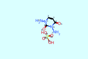 Nn1ccc(=O)n(N)c1=O.O=S(=O)(O)O